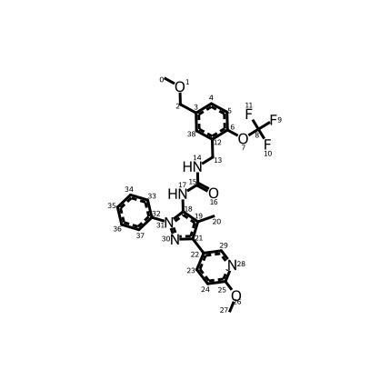 COCc1ccc(OC(F)(F)F)c(CNC(=O)Nc2c(C)c(-c3ccc(OC)nc3)nn2-c2ccccc2)c1